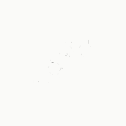 C=C(C)C(=O)NCc1ccc(S(=O)(=O)O)cc1